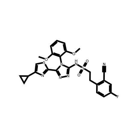 COc1cccc(OC)c1-n1c(NS(=O)(=O)CCc2ccc(F)cc2C#N)nnc1-c1nc(C2CC2)cs1